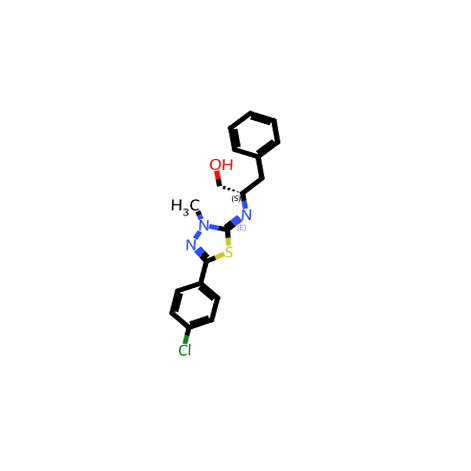 Cn1nc(-c2ccc(Cl)cc2)s/c1=N/[C@H](CO)Cc1ccccc1